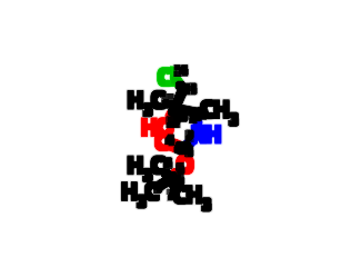 C[C@@H](NC(=O)OC(C)(C)C)[C@@](C)(O)CCl